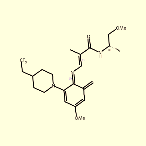 C=C1C=C(OC)C=C(N2CCC(CC(F)(F)F)CC2)/C1=N/C=C(\C)C(=O)N[C@@H](C)COC